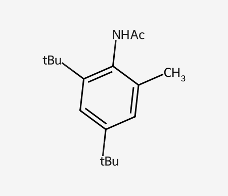 CC(=O)Nc1c(C)cc(C(C)(C)C)cc1C(C)(C)C